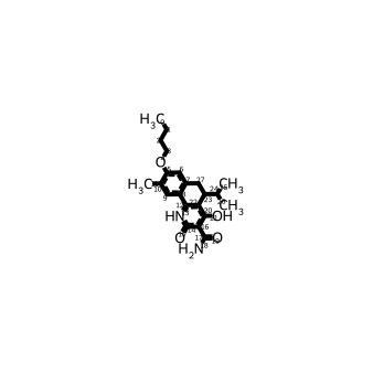 CCCCOc1cc2c(cc1C)-c1[nH]c(=O)c(C(N)=O)c(O)c1C(C(C)C)C2